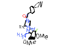 CC[C@H]1CN(C(=O)/C=C/c2ccc(C#N)cc2)CCN1c1nc(N)c2cc(OC)c(OC)c(F)c2n1